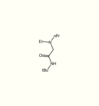 CCCN(CC)CC(=O)NC(C)(C)C